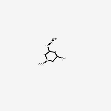 N=[N+]=NC1CC(O)CN(C(=O)[O-])C1